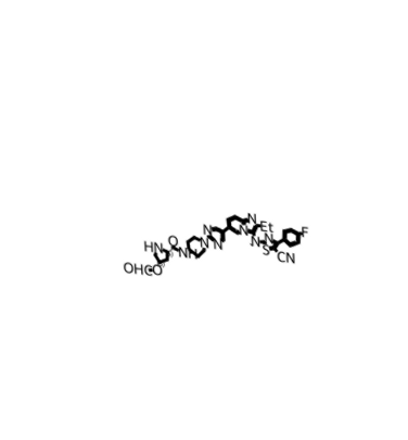 CCc1nc2ccc(-c3cnc(N4CCC(NC(=O)[C@@H]5C[C@H](OC=O)CN5)CC4)nc3)cn2c1N(C)c1nc(-c2ccc(F)cc2)c(C#N)s1